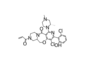 C=CC(=O)N1CCN2C(=O)c3c(N4CCN(C)C[C@@H]4C)nc(-c4c(O)cccc4Cl)c(Cl)c3OCC2C1